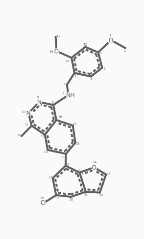 COc1ccc(CNc2nnc(C)c3cc(-c4cc(Cl)cc5ccoc45)ccc23)c(OC)c1